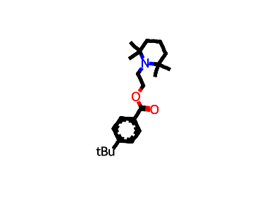 CC(C)(C)c1ccc(C(=O)OCCN2C(C)(C)CCCC2(C)C)cc1